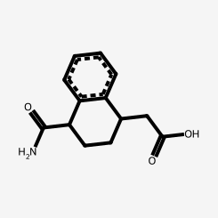 NC(=O)C1CCC(CC(=O)O)c2ccccc21